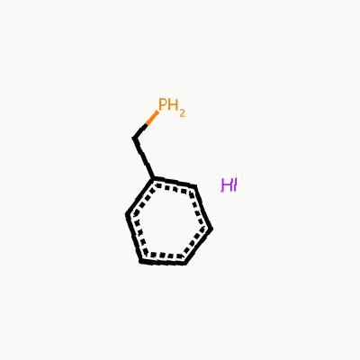 I.PCc1ccccc1